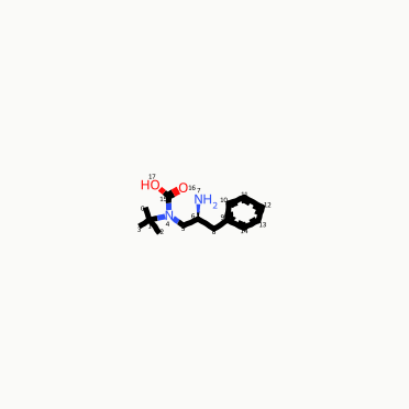 CC(C)(C)N(C[C@@H](N)Cc1ccccc1)C(=O)O